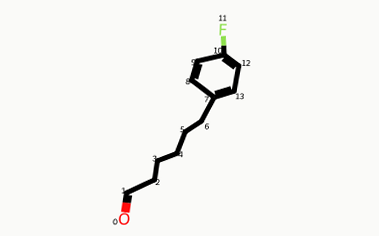 O=CCCCCCc1ccc(F)cc1